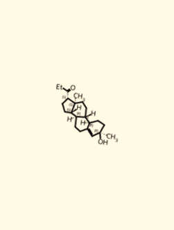 CCC(=O)[C@H]1CC[C@H]2[C@@H]3CCC4=C[C@](C)(O)CC[C@@H]4[C@H]3CC[C@]12C